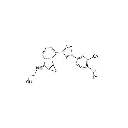 CC(C)Oc1ccc(-c2nc(-c3cccc4c3C3CC3/C4=N\CCO)no2)cc1C#N